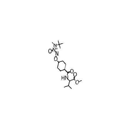 COC(=O)C(NC(=O)C1CCC(O/N=[N+](\[O-])N(C)C(C)(C)C)CC1)C(C)C